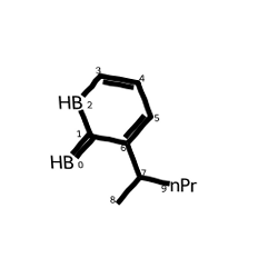 B=C1BC=CC=C1C(C)CCC